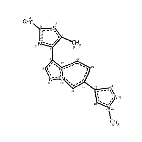 Cc1sc(C=O)nc1-c1cnn2cc(-c3cnn(C)c3)ccc12